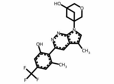 Cc1cc(C(F)(F)F)cc(O)c1-c1cc2c(C)cn(C34COCC(O)(C3)C4)c2nn1